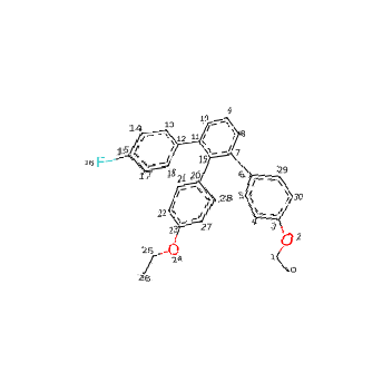 CCOc1ccc(-c2cc[c]c(-c3ccc(F)cc3)c2-c2ccc(OCC)cc2)cc1